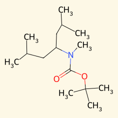 CC(C)CC(CC(C)C)N(C)C(=O)OC(C)(C)C